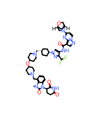 Cn1c(=O)n(C2CCC(=O)NC2=O)c2cccc(CN3CCC(OC4CCN(C[C@H]5CC[C@H](n6cc(NC(=O)c7cnn8ccc(N9C[C@H]%10C[C@@H]9CO%10)nc78)c(C(F)F)n6)CC5)CC4)CC3)c21